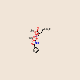 CC(C)(C)OC(=O)C(CCC(=O)O)CP(=O)(O)OC(NC(=O)c1ccccc1)OC(C)(C)C